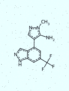 Cn1ncc(-c2cc(C(F)(F)F)cc3[nH]ncc23)c1N